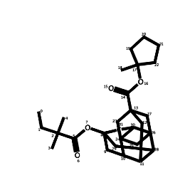 CCC(C)(C)C(=O)OC12CC3C4CC5(C(=O)OC6(C)CCCC6)CC36CC(C5)(C4C1)C6C2